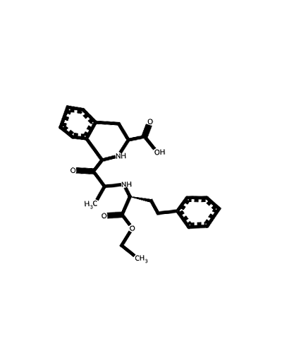 CCOC(=O)[C@H](CCc1ccccc1)NC(C)C(=O)C1NC(C(=O)O)Cc2ccccc21